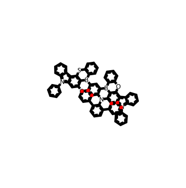 c1ccc(-c2cccc(-c3ccccc3)c2N2c3cc4c(cc3B3c5ccccc5Oc5c3c2cc2c5c3ccccc3n2-c2ccccc2)B2c3ccccc3Sc3c2c(cc2c3c3ccccc3n2-c2ccccc2)O4)cc1